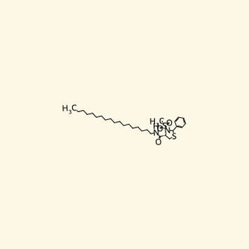 CCCCCCCCCCCCCCCCCCNC(=O)[C@@H]1CSC(c2ccccc2)N1S(C)(=O)=O